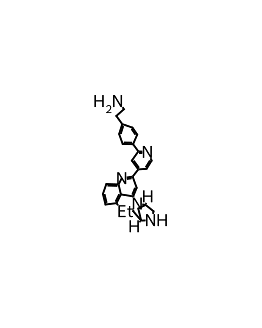 CCc1cccc2nc(-c3ccnc(-c4ccc(CCN)cc4)c3)cc(N3C[C@@H]4C[C@H]3CN4)c12